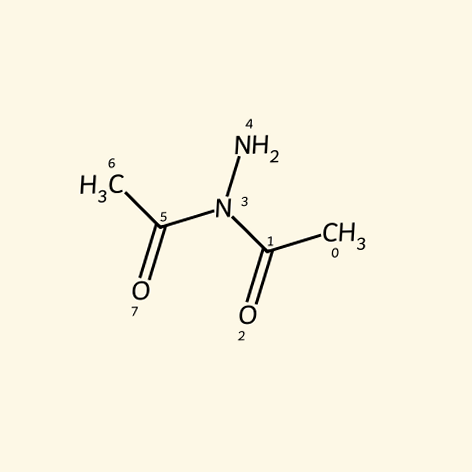 CC(=O)N(N)C(C)=O